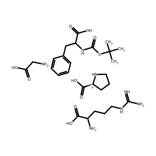 CC(C)(C)OC(=O)NC(Cc1ccccc1)C(=O)O.N=C(N)NCCCC(N)C(=O)O.NCC(=O)O.O=C(O)[C@@H]1CCCN1